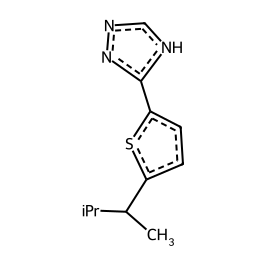 CC(C)C(C)c1ccc(-c2nnc[nH]2)s1